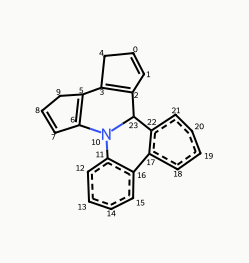 C1=CC2=C(C1)C1=C(C=CC1)N1c3ccccc3-c3ccccc3C21